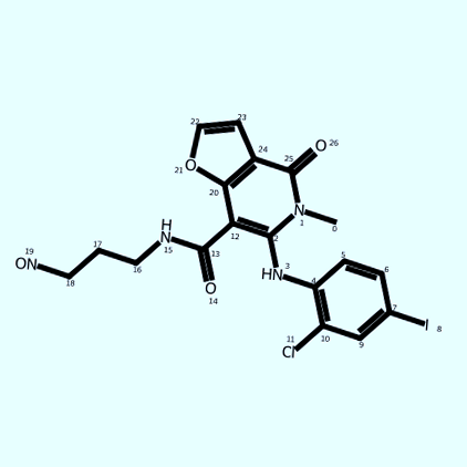 Cn1c(Nc2ccc(I)cc2Cl)c(C(=O)NCCCN=O)c2occc2c1=O